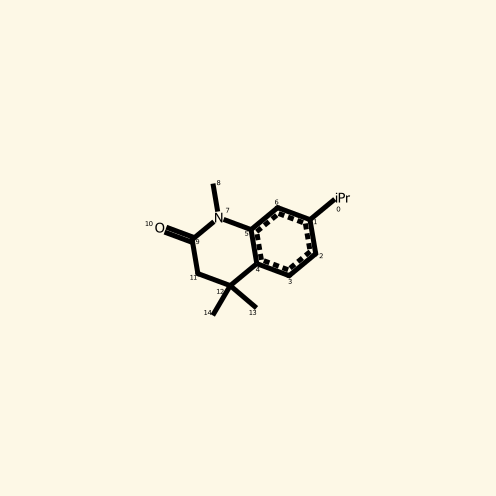 CC(C)c1ccc2c(c1)N(C)C(=O)CC2(C)C